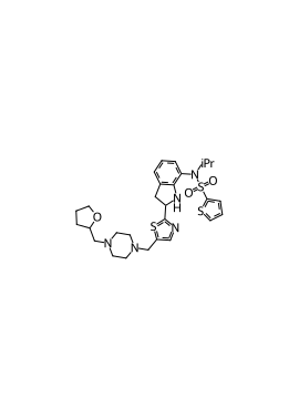 CC(C)N(c1cccc2c1NC(c1ncc(CN3CCN(CC4CCCO4)CC3)s1)C2)S(=O)(=O)c1cccs1